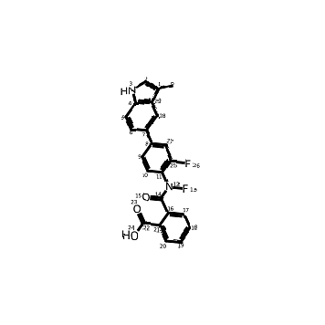 Cc1c[nH]c2ccc(-c3ccc(N(F)C(=O)c4ccccc4C(=O)O)c(F)c3)cc12